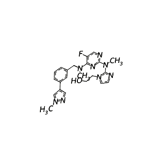 CN(Cc1cccc(-c2cnn(C)c2)c1)c1nc(N(C)c2nccn2CCO)ncc1F